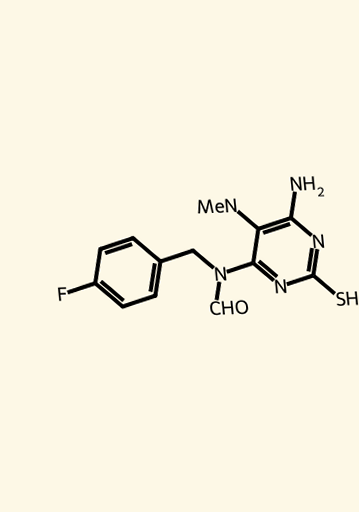 CNc1c(N)nc(S)nc1N(C=O)Cc1ccc(F)cc1